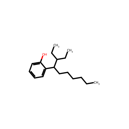 CCCCCCC(c1ccccc1O)C(CC)CC